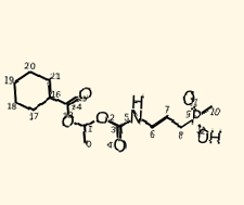 CC(OC(=O)NCCCP(C)(=O)O)OC(=O)C1CCCCC1